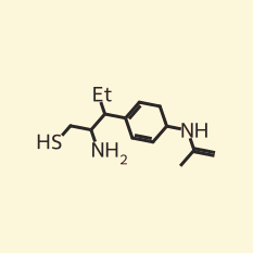 C=C(C)NC1C=CC(C(CC)C(N)CS)=CC1